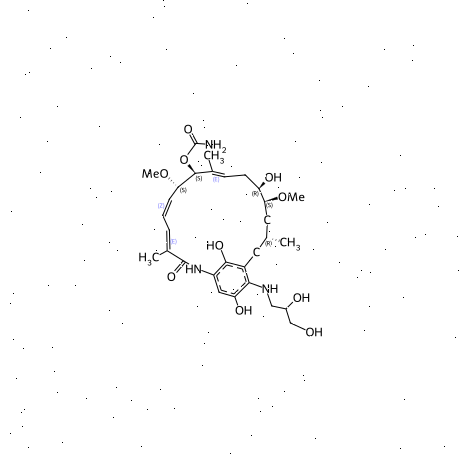 CO[C@H]1/C=C\C=C(/C)C(=O)Nc2cc(O)c(NCC(O)CO)c(c2O)C[C@@H](C)C[C@H](OC)[C@H](O)C/C=C(\C)[C@@H]1OC(N)=O